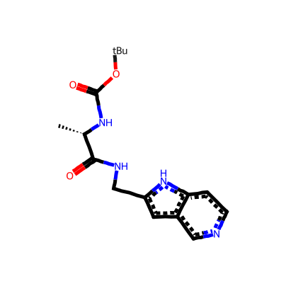 C[C@H](NC(=O)OC(C)(C)C)C(=O)NCc1cc2cnccc2[nH]1